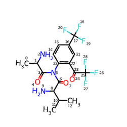 CC(N)C(=O)N(C(=O)C(N)C(C)C)c1ccc(C(F)(F)F)cc1C(=O)C(F)(F)F